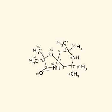 CC1(C)CC2(CC(C)(C)N1)NC(=O)C(C)(C)O2